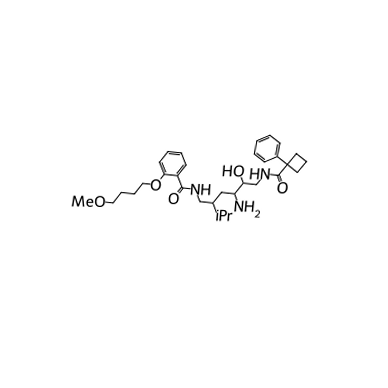 COCCCCOc1ccccc1C(=O)NCC(CC(N)C(O)CNC(=O)C1(c2ccccc2)CCC1)C(C)C